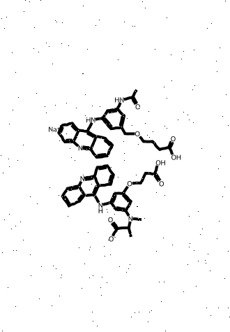 CC(=O)Nc1cc(COCCCC(=O)O)cc(Nc2c3ccccc3nc3ccccc23)c1.CC(C(=O)[O-])N(C)c1cc(Nc2c3ccccc3nc3ccccc23)cc(OCCC(=O)O)c1.[Na+]